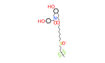 CC(F)(F)C(F)(F)CCC[S+]([O-])CCCCCCCCOCC1Cc2ccc(O)cc2CN1C(=O)c1ccc(O)cc1